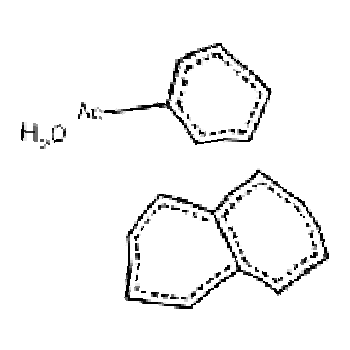 CC(=O)c1ccccc1.O.c1ccc2ccccc2c1